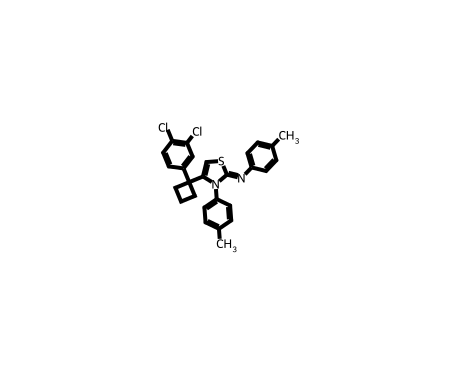 Cc1ccc(/N=c2\scc(C3(c4ccc(Cl)c(Cl)c4)CCC3)n2-c2ccc(C)cc2)cc1